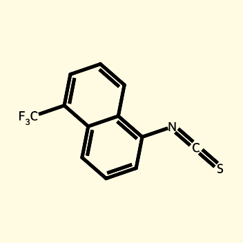 FC(F)(F)c1cccc2c(N=C=S)cccc12